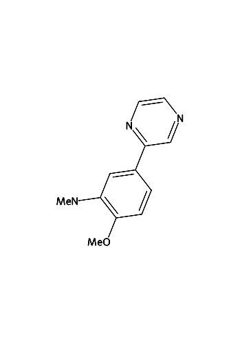 CNc1cc(-c2cnccn2)ccc1OC